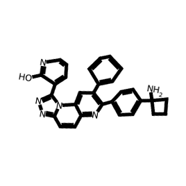 NC1(c2ccc(-c3nc4ccc5nnc(-c6cccnc6O)n5c4cc3-c3ccccc3)cc2)CCC1